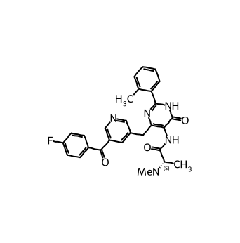 CN[C@@H](C)C(=O)Nc1c(Cc2cncc(C(=O)c3ccc(F)cc3)c2)nc(-c2ccccc2C)[nH]c1=O